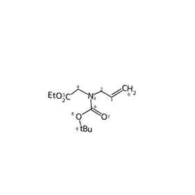 C=CCN(CC(=O)OCC)C(=O)OC(C)(C)C